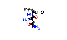 CC(C)C[C@@H](C=O)NC(=O)[C@@H](N)CC(N)=O